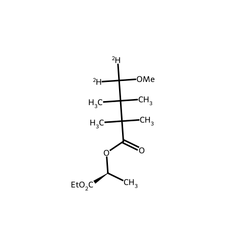 [2H]C([2H])(OC)C(C)(C)C(C)(C)C(=O)O[C@@H](C)C(=O)OCC